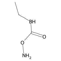 CCBC(=O)ON